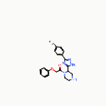 O=C(COc1ccccc1)N1CCNCC1c1nc(-c2ccc(C(F)(F)F)cc2)n[nH]1